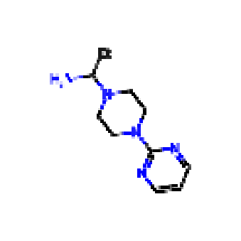 CCC(N)N1CCN(c2ncccn2)CC1